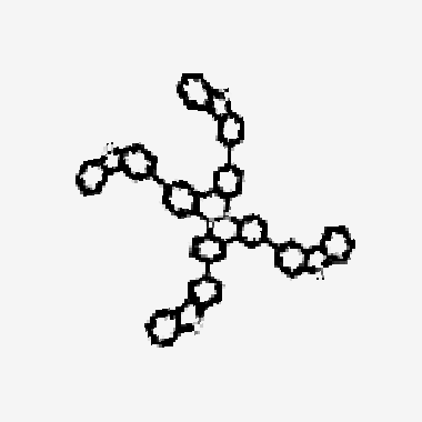 c1ccc2c(c1)oc1ccc(-c3ccc4c(c3)-c3cc(-c5ccc6oc7ccccc7c6c5)ccc3N3B4c4ccc(-c5ccc6oc7ccccc7c6c5)cc4-c4cc(-c5ccc6oc7ccccc7c6c5)ccc43)cc12